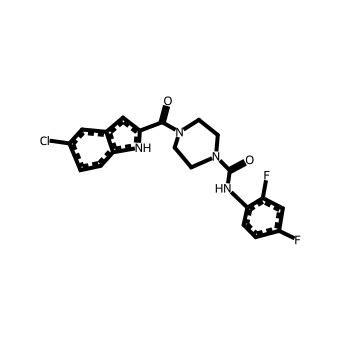 O=C(Nc1ccc(F)cc1F)N1CCN(C(=O)c2cc3cc(Cl)ccc3[nH]2)CC1